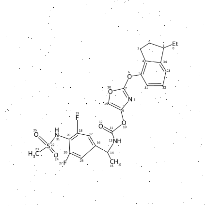 CCC1CCc2c(Oc3nc(OC(=O)NC(C)c4cc(F)c(NS(C)(=O)=O)c(F)c4)co3)cccc21